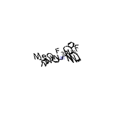 COc1nc(/C=C/c2nc3n(n2)CCC[C@@H]3c2c(F)cccc2C(F)(F)F)ccc1-n1cnc(C)c1